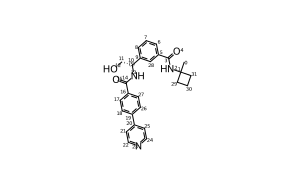 CC1(NC(=O)c2cccc([C@@H](CO)NC(=O)c3ccc(-c4ccncc4)cc3)c2)CCC1